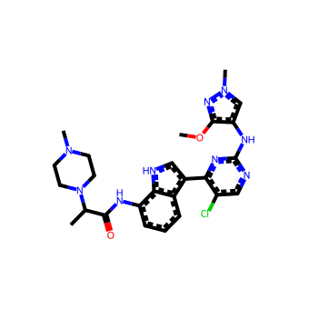 COc1nn(C)cc1Nc1ncc(Cl)c(-c2c[nH]c3c(NC(=O)C(C)N4CCN(C)CC4)cccc23)n1